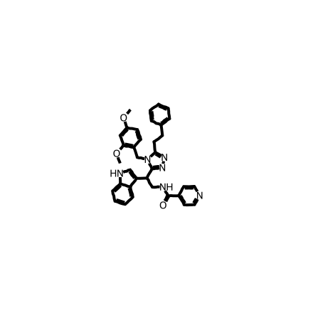 COc1ccc(Cn2c(CCc3ccccc3)nnc2C(CNC(=O)c2ccncc2)c2c[nH]c3ccccc23)c(OC)c1